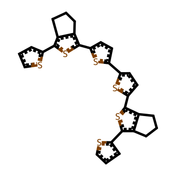 c1csc(-c2sc(-c3ccc(-c4ccc(-c5sc(-c6cccs6)c6c5CCC6)s4)s3)c3c2CCC3)c1